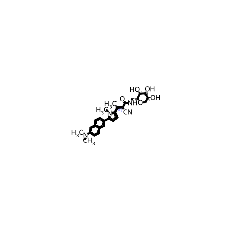 C/C(=C(/C#N)C(=O)NC[C@H]1OC[C@H](O)[C@@H](O)[C@@H]1O)c1ccc(-c2ccc3cc(N(C)C)ccc3c2)n1C